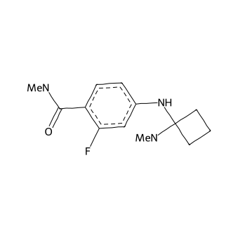 CNC(=O)c1ccc(NC2(NC)CCC2)cc1F